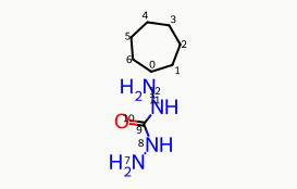 C1CCCCCC1.NNC(=O)NN